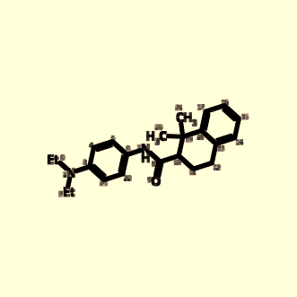 CCN(CC)c1ccc(NC(=O)C2CCc3ccccc3C2(C)C)cc1